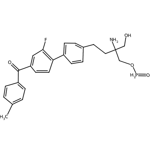 Cc1ccc(C(=O)c2ccc(-c3ccc(CCC(N)(CO)CO[PH2]=O)cc3)c(F)c2)cc1